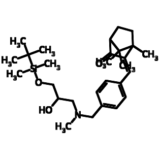 CN(Cc1ccc(C=C2C(=O)C3CCC2(C)C3(C)C)cc1)CC(O)CO[Si](C)(C)C(C)(C)C